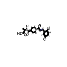 CC(NC(=O)C1CCN(C(=O)/C=C/c2cc(Cl)ccc2Cl)CC1)C(=O)O